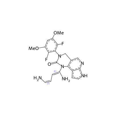 COc1cc(OC)c(F)c(N2Cc3cnc4[nH]ccc4c3N(/C(N)=C/C=C\N)C2=O)c1F